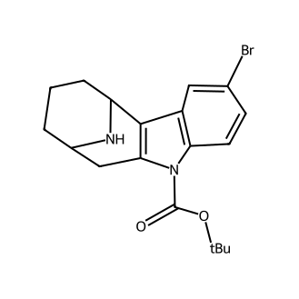 CC(C)(C)OC(=O)n1c2c(c3cc(Br)ccc31)C1CCCC(C2)N1